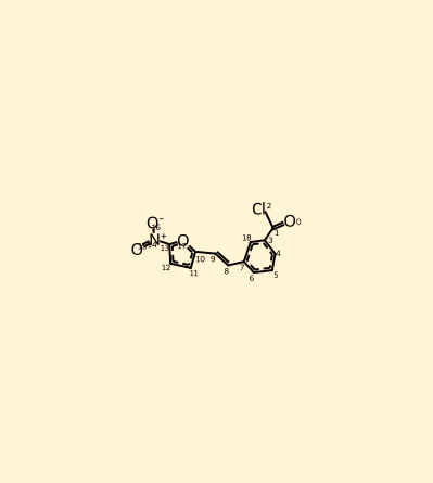 O=C(Cl)c1cccc(C=Cc2ccc([N+](=O)[O-])o2)c1